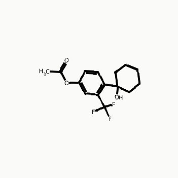 CC(=O)Oc1ccc(C2(O)CCCCC2)c(C(F)(F)F)c1